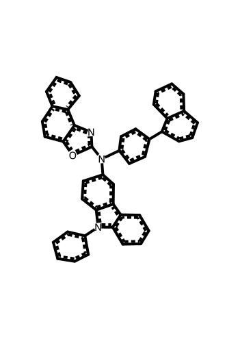 c1ccc(-n2c3ccccc3c3cc(N(c4ccc(-c5cccc6ccccc56)cc4)c4nc5c(ccc6ccccc65)o4)ccc32)cc1